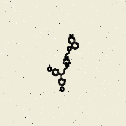 COc1ccc(C(CCCN2CCN(CCOc3cccc4cnccc34)CC2)c2ccc(OC)cc2)cc1